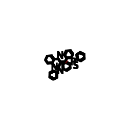 S=P(c1ccccc1)(c1ccccc1)c1cccc2nc3c4c(n5c6ccccc6nc5c3cc12)=CCCC=4